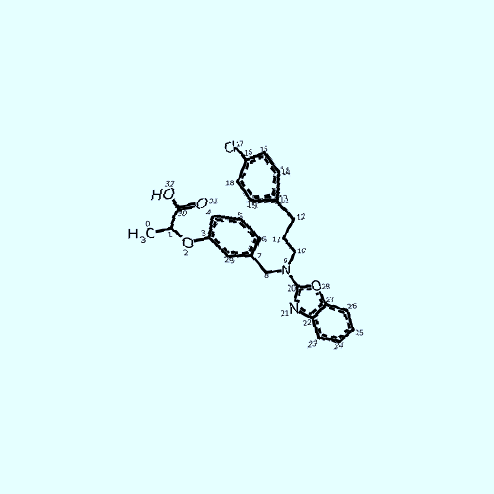 CC(Oc1cccc(CN(CCCc2ccc(Cl)cc2)c2nc3ccccc3o2)c1)C(=O)O